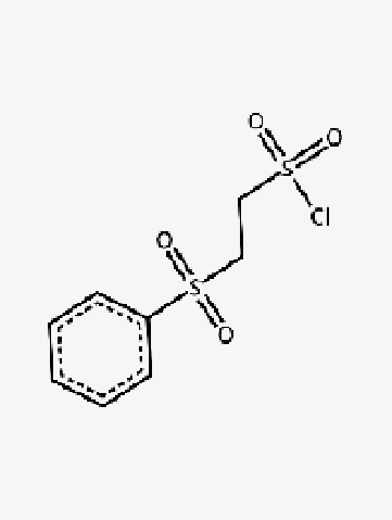 O=S(=O)(Cl)CCS(=O)(=O)c1ccccc1